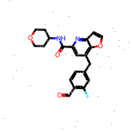 O=Cc1ccc(Cc2cc(C(=O)NC3CCOCC3)nc3ccoc23)cc1F